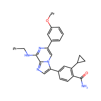 CC(C)CNc1nc(-c2cccc(OC(C)C)c2)cn2c(-c3ccc(C(N)=O)c(C4CC4)c3)cnc12